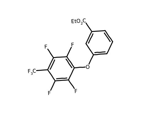 CCOC(=O)c1cccc(Oc2c(F)c(F)c(C(F)(F)F)c(F)c2F)c1